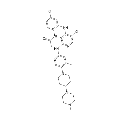 CC(=O)Nc1ccc(Cl)cc1Nc1nc(Nc2ccc(N3CCC(N4CCN(C)CC4)CC3)c(F)c2)ncc1Cl